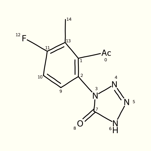 CC(=O)c1c(-n2nn[nH]c2=O)ccc(F)c1C